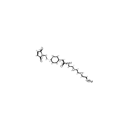 CC(C)(C)CCOCCOCCNC(=O)C[C@H]1CC[C@H](CCN2C(=O)C=CC2=O)CC1